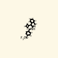 FC(F)(F)Oc1ccc(CNc2ncc3ccccc3c2C2CCC2)cc1